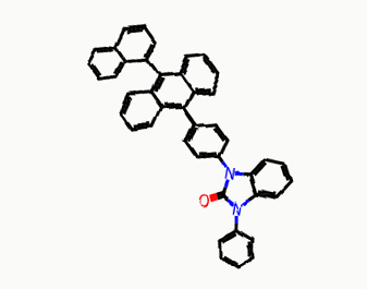 O=c1n(-c2ccccc2)c2ccccc2n1-c1ccc(-c2c3ccccc3c(-c3cccc4ccccc34)c3ccccc23)cc1